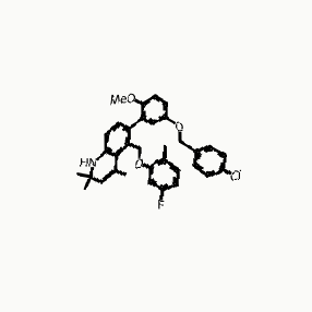 COc1ccc(OCc2ccc(Cl)cc2)cc1-c1ccc2c(c1COc1cc(F)ccc1C)C(C)=CC(C)(C)N2